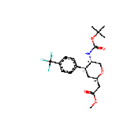 COC(=O)C[C@H]1C[C@@H](c2ccc(C(F)(F)F)cc2)[C@H](NC(=O)OC(C)(C)C)CO1